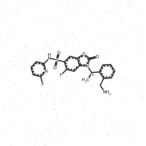 C[C@H](c1ccccc1CN)n1c(=O)oc2cc(S(=O)(=O)Nc3cccc(F)n3)c(F)cc21